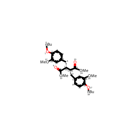 CCCCOc1ccc(C[C@@H](C(=O)OC)[C@@H](Cc2ccc(OCCCC)c(OC)c2)C(=O)OC)cc1OC